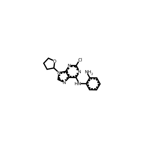 Nc1ccccc1Nc1nc(Cl)nc2c1ncn2C1CCCO1